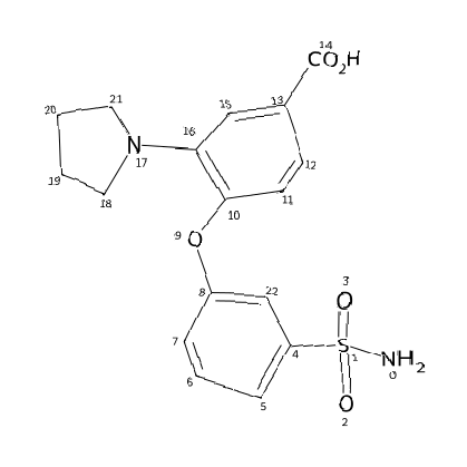 NS(=O)(=O)c1cccc(Oc2ccc(C(=O)O)cc2N2CCCC2)c1